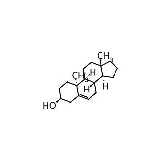 C[C@@]12CCC[C@H]1[C@@H]1CC=C3C[C@@H](O)CC[C@@]3(C)[C@H]1CC2